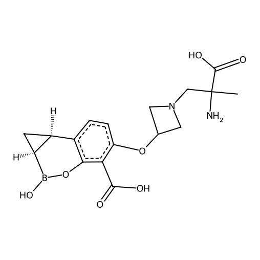 CC(N)(CN1CC(Oc2ccc3c(c2C(=O)O)OB(O)[C@H]2C[C@@H]32)C1)C(=O)O